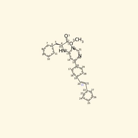 COC(=O)[C@H](Cc1ccccc1)Nc1cc(-c2ccc(/C=C/c3ccccc3)cc2)ncn1